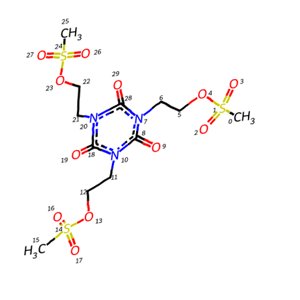 CS(=O)(=O)OCCn1c(=O)n(CCOS(C)(=O)=O)c(=O)n(CCOS(C)(=O)=O)c1=O